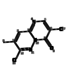 Cc1cc2ncc(Cl)c(=O)n2nc1Cl